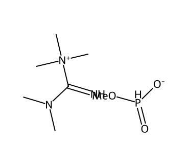 CN(C)C(=N)[N+](C)(C)C.CO[PH](=O)[O-]